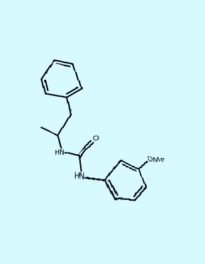 COc1cccc(NC(=O)NC(C)Cc2ccccc2)c1